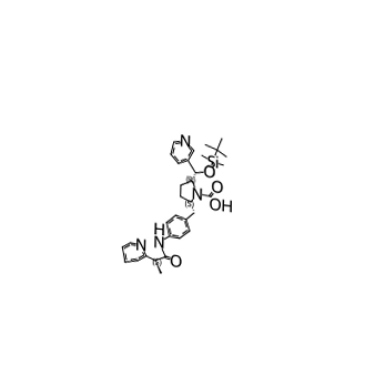 C[C@H](C(=O)Nc1ccc(C[C@@H]2CC[C@H](C(O[Si](C)(C)C(C)(C)C)c3cccnc3)N2C(=O)O)cc1)c1ccccn1